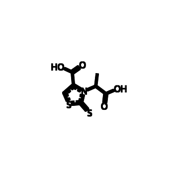 CC(C(=O)O)n1c(C(=O)O)csc1=S